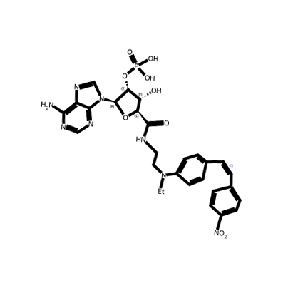 CCN(CCNC(=O)[C@H]1O[C@@H](n2cnc3c(N)ncnc32)[C@H](OP(=O)(O)O)[C@@H]1O)c1ccc(/C=C\c2ccc([N+](=O)[O-])cc2)cc1